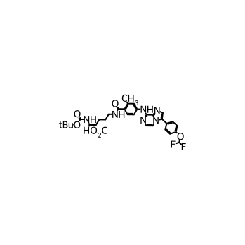 Cc1cc(Nc2nccn3c(-c4ccc(OC(F)F)cc4)cnc23)ccc1C(=O)NCCCCC(NC(=O)OC(C)(C)C)C(=O)O